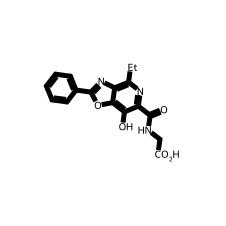 CCc1nc(C(=O)NCC(=O)O)c(O)c2oc(-c3ccccc3)nc12